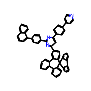 c1ccc2c(c1)-c1ccccc1C1(c3ccc(-c4cc(-c5ccc(-c6ccncc6)cc5)nc(-c5ccc(-c6cccc7ccccc67)cc5)n4)cc3-2)c2ccccc2-c2ccccc21